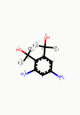 Nc1cc(N)c(C(O)(C(F)(F)F)C(F)(F)F)c(C(O)(C(F)(F)F)C(F)(F)F)c1